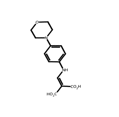 O=C(O)C(=CNc1ccc(N2CCOCC2)cc1)C(=O)O